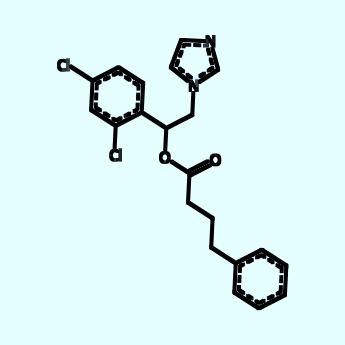 O=C(CCCc1ccccc1)OC(Cn1ccnc1)c1ccc(Cl)cc1Cl